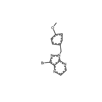 COc1ccc(Cn2nc(Br)c3nccnc32)cc1